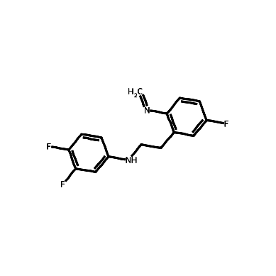 C=Nc1ccc(F)cc1CCNc1ccc(F)c(F)c1